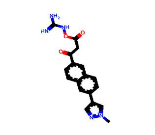 Cn1cc(-c2ccc3cc(C(=O)CC(=O)ONC(=N)N)ccc3c2)cn1